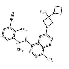 Cc1c(C#N)cccc1[C@@H](C)Nc1nnc(C)c2cnc(N3CC(C)(N4CCC4)C3)cc12